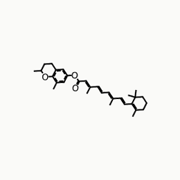 CC1=C(/C=C/C(C)=C/C=C/C(C)=C/C(=O)Oc2cc(C)c3c(c2)CCC(C)O3)C(C)(C)CCC1